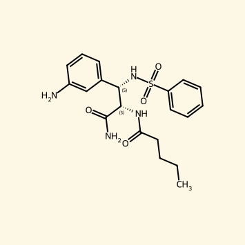 CCCCC(=O)N[C@H](C(N)=O)[C@@H](NS(=O)(=O)c1ccccc1)c1cccc(N)c1